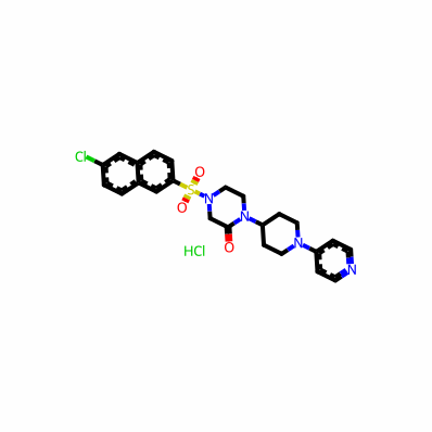 Cl.O=C1CN(S(=O)(=O)c2ccc3cc(Cl)ccc3c2)CCN1C1CCN(c2ccncc2)CC1